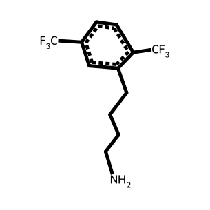 NCCCCc1cc(C(F)(F)F)ccc1C(F)(F)F